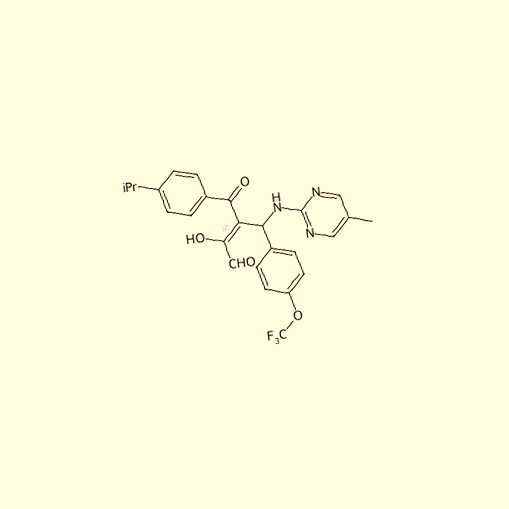 Cc1cnc(NC(/C(C(=O)c2ccc(C(C)C)cc2)=C(/O)C=O)c2ccc(OC(F)(F)F)cc2)nc1